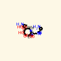 CC[C@H]1OC(=O)[C@H](C)C(O)[C@H](C)[C@@H](O[C@@H]2OC(C)CC(N)C2O)[C@](C)(OC)C[C@@H](C)CN(C)[C@H](C)[C@H]2N(CCCCn3cc(-c4cccc(N)c4)nn3)C(=O)O[C@]12C